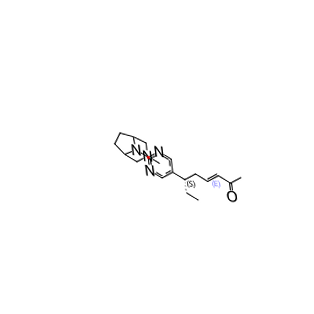 CC[C@@H](C/C=C/C(C)=O)c1cnc(N2C3CCC2CN(C)C3)nc1